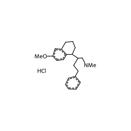 CNCC(CCc1ccccc1)C1CCCc2cc(OC)ccc21.Cl